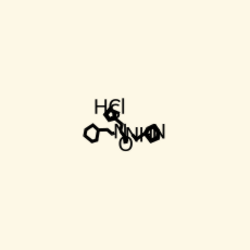 Cl.O=C(NCc1ccncc1)N(CCC1CCCCC1)Cc1cccs1